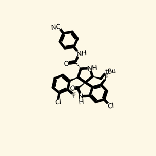 CC(C)(C)C[C@@H]1N[C@@H](C(=O)Nc2ccc(C#N)cc2)[C@H](c2cccc(Cl)c2F)[C@]12C(=O)Nc1cc(Cl)cc(F)c12